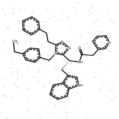 CCc1ccc(Cn2c(CCc3ccccc3)nnc2[C@@H](Cc2c[nH]c3ccccc23)NC(=O)Cc2cccnc2)cc1